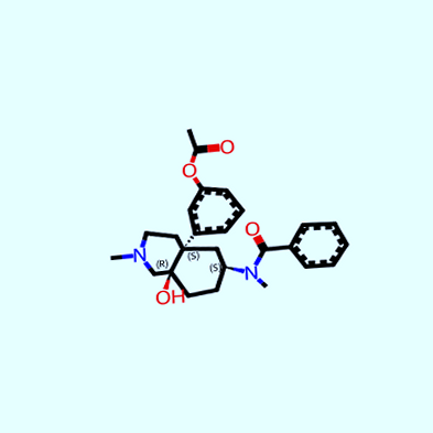 CC(=O)Oc1cccc([C@@]23CCN(C)C[C@@]2(O)CC[C@H](N(C)C(=O)c2ccccc2)C3)c1